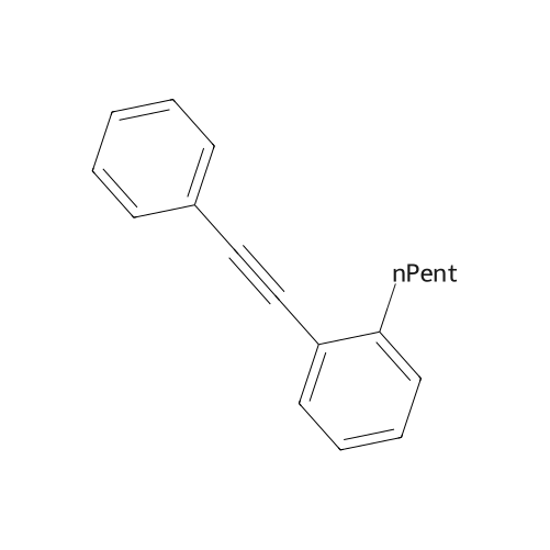 CCCCCc1ccccc1C#Cc1ccccc1